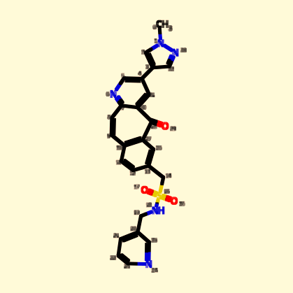 Cn1cc(-c2cnc3ccc4ccc(CS(=O)(=O)NCc5cccnc5)cc4c(=O)c3c2)cn1